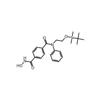 CC(C)(C)[Si](C)(C)OCCN(C(=O)c1ccc(C(=O)NO)cc1)c1ccccc1